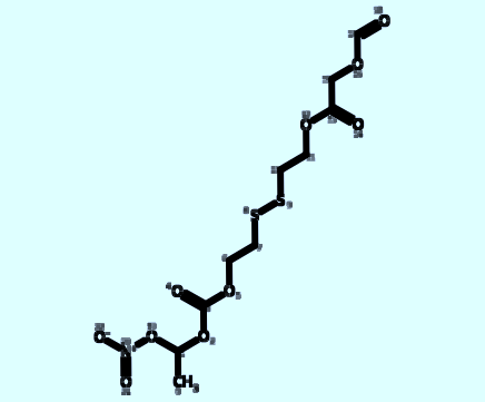 CC(OC(=O)OCCSSCCOC(=O)COC=O)O[N+](=O)[O-]